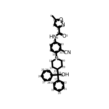 Cc1cc(C(=O)Nc2ccc(N3CCC(C(O)(c4ccccc4)c4ccccc4)CC3)c(C#N)c2)no1